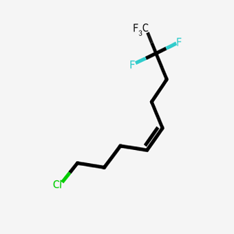 FC(F)(F)C(F)(F)CC/C=C\CCCCl